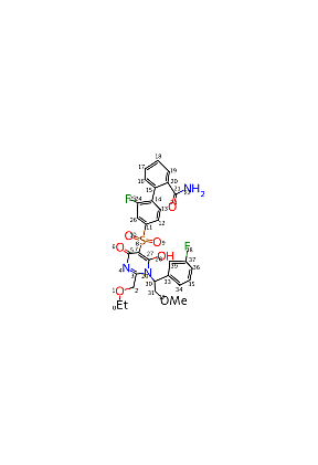 CCOCc1nc(=O)c(S(=O)(=O)c2ccc(-c3ccccc3C(N)=O)c(F)c2)c(O)n1C(COC)c1cccc(F)c1